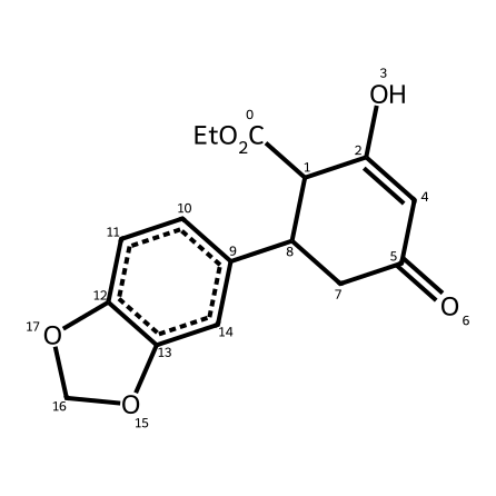 CCOC(=O)C1C(O)=CC(=O)CC1c1ccc2c(c1)OCO2